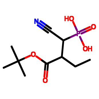 CCC(C(=O)OC(C)(C)C)C(C#N)P(=O)(O)O